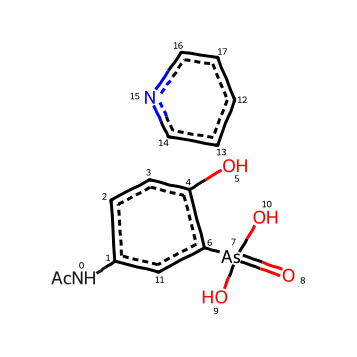 CC(=O)Nc1ccc(O)c([As](=O)(O)O)c1.c1ccncc1